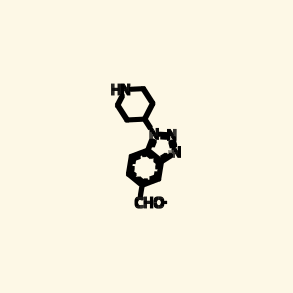 O=[C]c1ccc2c(c1)nnn2C1CCNCC1